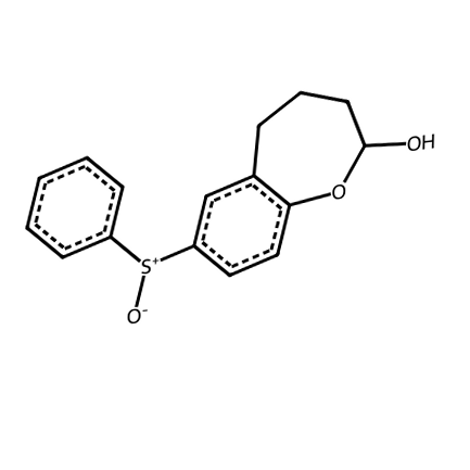 [O-][S+](c1ccccc1)c1ccc2c(c1)CCCC(O)O2